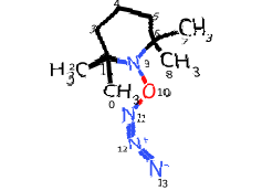 CC1(C)CCCC(C)(C)N1ON=[N+]=[N-]